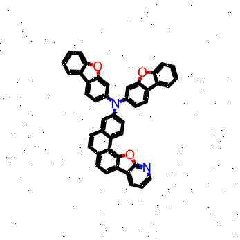 c1ccc2c(c1)oc1cc(N(c3ccc4c(ccc5ccc6c7cccnc7oc6c54)c3)c3ccc4c(c3)oc3ccccc34)ccc12